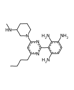 CCCCc1cc(N2CCCC(NC)C2)nc(-c2c(N)ccc(N)c2N)n1